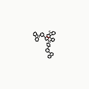 c1cc(-c2ccc(N(c3ccc(-c4cccc(-n5c6ccccc6c6ccccc65)c4)cc3)c3ccccc3-c3cccc4sc5ccccc5c34)cc2)cc(-c2cccc3ccccc23)c1